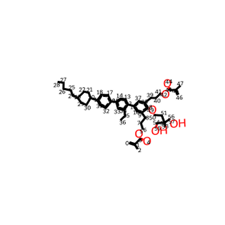 C=C(C)C(=O)OCCCc1cc(-c2ccc(-c3ccc(C4CCC(CCCCC)CC4)cc3)cc2CC)cc(CCCOC(=O)C(=C)C)c1OCCC(C)(CO)CO